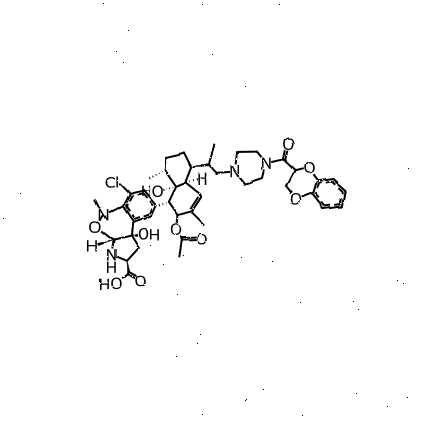 CC(=O)OC1C(C)=C[C@@H]2[C@H](C(C)CN3CCN(C(=O)C4COc5ccccc5O4)CC3)CC[C@@H](C)[C@]2(O)[C@H]1c1cc(Cl)c2c(c1)[C@]1(O)C[C@@H](C(=O)O)N[C@@H]1ON2C